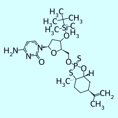 C=C(C)[C@H]1CC[C@@]2(C)SP(=S)(OC[C@H]3O[C@@H](n4ccc(N)nc4=O)CC3O[Si](C)(C)C(C)(C)C)O[C@@H]2C1